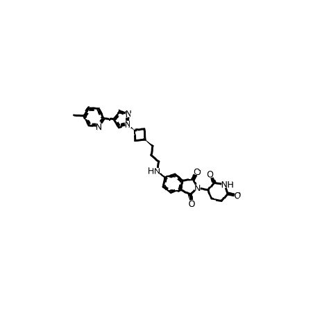 Cc1ccc(-c2cnn([C@H]3C[C@H](CCCNc4ccc5c(c4)C(=O)N(C4CCC(=O)NC4=O)C5=O)C3)c2)nc1